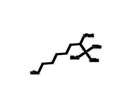 CCCCCCCCCCCCCCCC(CCCCC)[Si](OC)(OC)OC